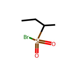 CCC(C)S(=O)(=O)Br